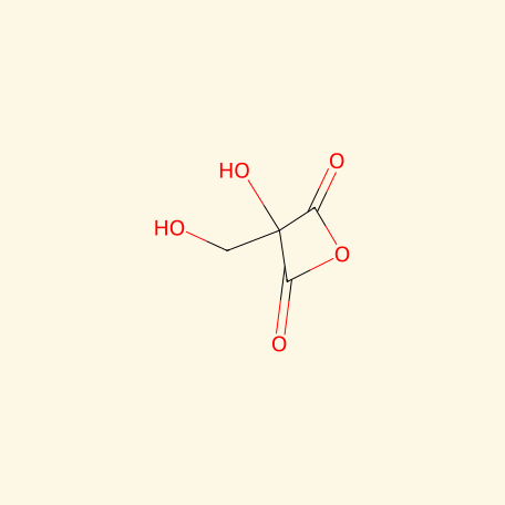 O=C1OC(=O)C1(O)CO